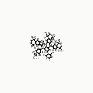 Cc1cccc(C)c1-c1cc2c3c(c1)N(c1ccc([Si](C)(C)C)cc1)c1c(oc4cc5c(cc14)C(C)(C)CCC5(C)C)B3c1cc3c(cc1N2c1ccc2c(c1)C(C)(C)CCC2(C)C)C(C)(C)CCC3(C)C